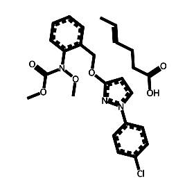 C/C=C/CCC(=O)O.COC(=O)N(OC)c1ccccc1COc1ccn(-c2ccc(Cl)cc2)n1